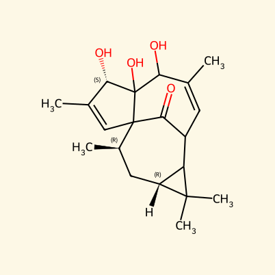 CC1=CC2C(=O)C3(C=C(C)[C@H](O)C3(O)C1O)[C@H](C)C[C@@H]1C2C1(C)C